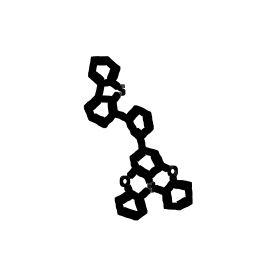 c1cc(-c2cc3c4c(c2)Oc2ccccc2B4c2ccccc2O3)cc(-c2cccc3c2sc2ccccc23)c1